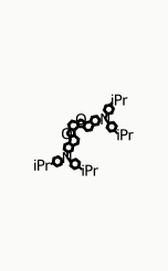 CC(C)c1ccc(N(c2ccc(C(C)C)cc2)c2ccc3c(ccc4c3oc3ccc5oc6c7ccc(N(c8ccc(C(C)C)cc8)c8ccc(C(C)C)cc8)cc7ccc6c5c34)c2)cc1